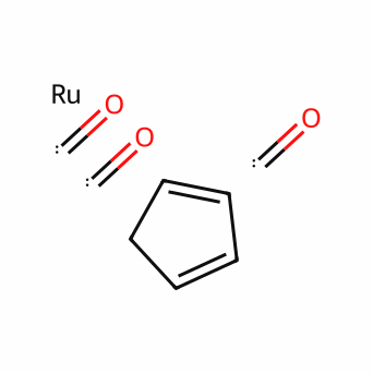 C1=CCC=C1.[C]=O.[C]=O.[C]=O.[Ru]